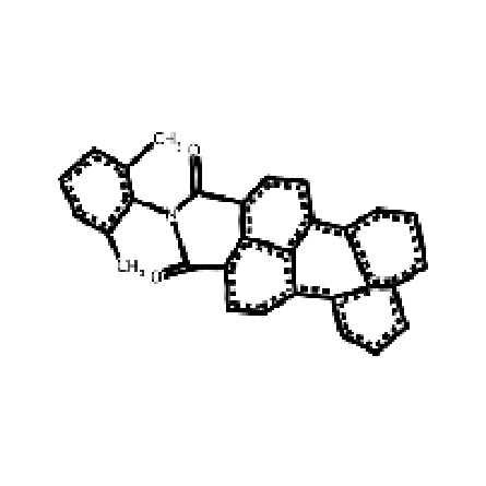 Cc1cccc(C)c1N1C(=O)c2ccc3c4cccc5cccc(c6ccc(c2c36)C1=O)c54